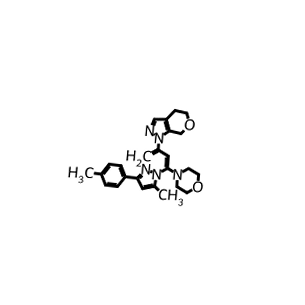 C=C(/C=C(/N1CCOCC1)n1nc(-c2ccc(C)cc2)cc1C)n1ncc2c1COCC2